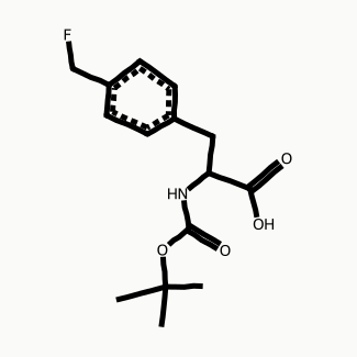 CC(C)(C)OC(=O)NC(Cc1ccc(CF)cc1)C(=O)O